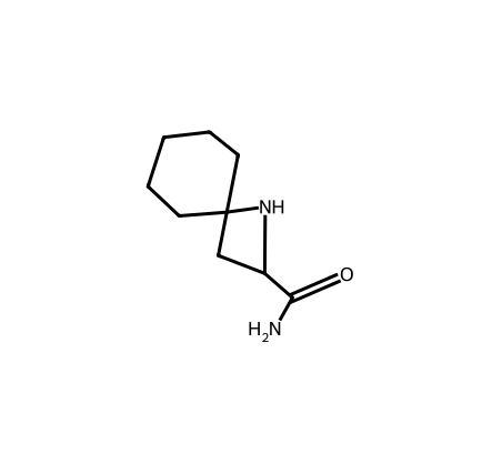 NC(=O)C1CC2(CCCCC2)N1